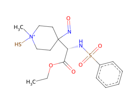 CCOC(=O)[C@@H](NS(=O)(=O)c1ccccc1)C1(N=O)CC[N+](C)(S)CC1